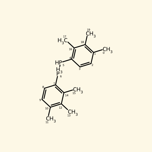 Cc1ccc(P[PH3]c2ccc(C)c(C)c2C)c(C)c1C